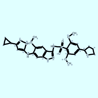 COc1cc2c(NS(=O)(=O)c3c(OC)cc(C4CCCO4)cc3OC)noc2cc1Nc1cc(C2CC2)n[nH]1